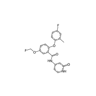 Cc1cc(F)ccc1Oc1ccc(OCF)cc1C(=O)Nc1cc[nH]c(=O)c1